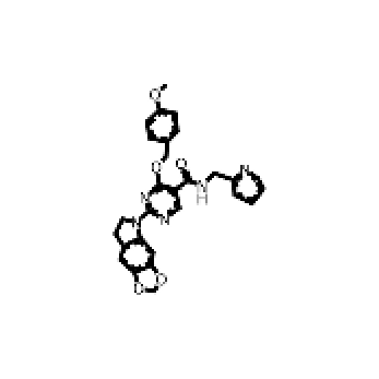 COc1ccc(COc2nc(N3CCc4cc5c(cc43)OCO5)ncc2C(=O)NCc2ccccn2)cc1